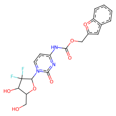 O=C(Nc1ccn(C2OC(CO)C(O)C2(F)F)c(=O)n1)OCc1cc2ccccc2o1